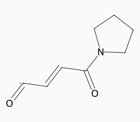 O=[C]C=CC(=O)N1CCCC1